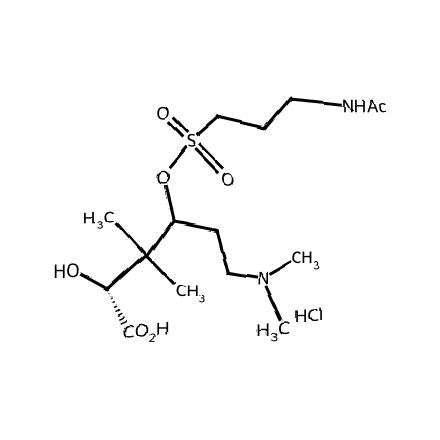 CC(=O)NCCCS(=O)(=O)OC(CCN(C)C)C(C)(C)[C@@H](O)C(=O)O.Cl